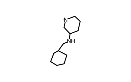 C1CCC(CNC2CCC[N]C2)CC1